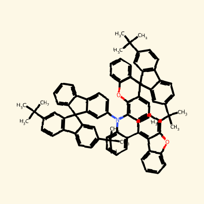 CC(C)(C)c1ccc2c(c1)C1(c3ccccc3-c3ccc(N(c4ccccc4-c4cccc5oc6ccccc6c45)c4cccc5c4Oc4ccccc4C54c5cc(C(C)(C)C)ccc5-c5ccc(C(C)(C)C)cc54)cc31)c1cc(C(C)(C)C)ccc1-2